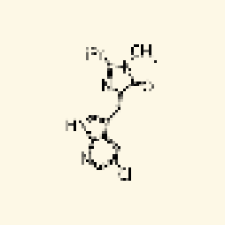 CC(C)C1=NC(=Cc2c[nH]c3ncc(Cl)cc23)C(=O)N1C